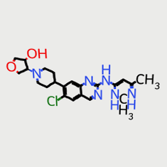 CN/C(=C\C(C)=N)Nc1ncc2cc(Cl)c(C3CCN([C@H]4COC[C@H]4O)CC3)cc2n1